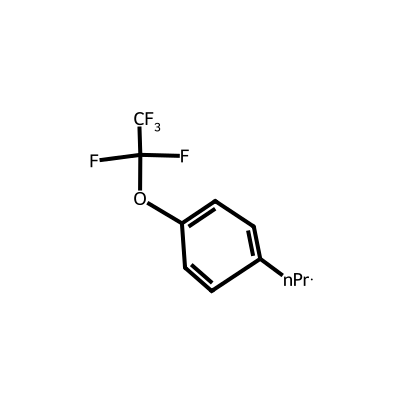 CC[CH]c1ccc(OC(F)(F)C(F)(F)F)cc1